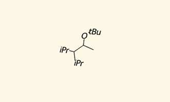 CC(C)C(C(C)C)C(C)OC(C)(C)C